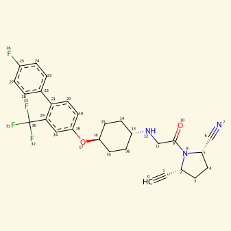 C#C[C@H]1CC[C@@H](C#N)N1C(=O)CN[C@H]1CC[C@H](Oc2ccc(-c3ccc(F)cc3)c(C(F)(F)F)c2)CC1